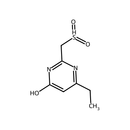 CCc1cc(O)nc(C[SH](=O)=O)n1